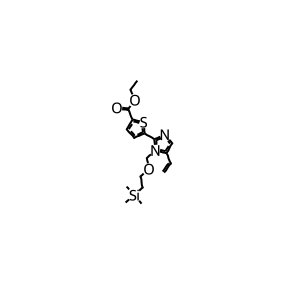 C=Cc1cnc(-c2ccc(C(=O)OCC)s2)n1COCC[Si](C)(C)C